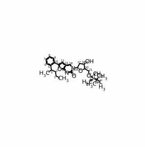 CCCC(C)c1ccccc1-c1cc2cn(C3CC(O)C(CO[Si](C)(C)C(C)(C)C)O3)c(=O)nc2o1